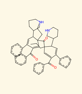 CCCC1(C(=O)C2(CCC)C=C(C(=O)c3ccccc3)C(c3ccccc3)=CC2C2CCCNC2)C=C(C(=O)c2ccccc2)C(c2ccccc2)=CC1C1CCCNC1